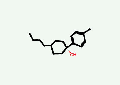 CCCC[C@H]1CC[C@@](O)(c2ccc(C)cc2)CC1